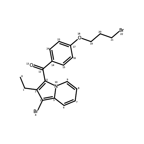 CCc1c(Br)c2ccccn2c1C(=O)c1ccc(OCCCBr)cc1